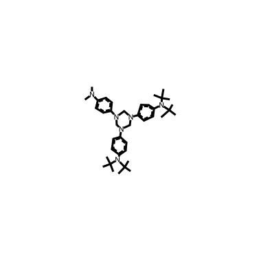 CN(C)c1ccc(N2CN(c3ccc(N(C(C)(C)C)C(C)(C)C)cc3)CN(c3ccc(N(C(C)(C)C)C(C)(C)C)cc3)C2)cc1